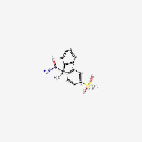 CC(C(N)=O)(c1ccccc1)c1ccc(S(C)(=O)=O)cc1